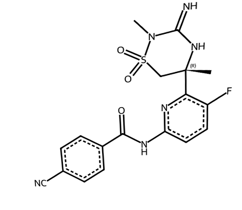 CN1C(=N)N[C@](C)(c2nc(NC(=O)c3ccc(C#N)cc3)ccc2F)CS1(=O)=O